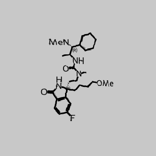 CN[C@H](C1CCCCC1)C(C)NC(=O)N(C)CC[C@@]1(CCCCOC)NC(=O)c2ccc(F)cc21